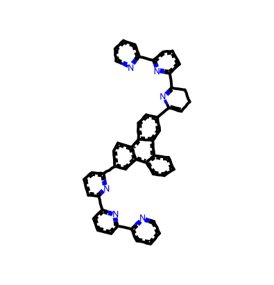 C1=C(c2ccc3c4ccc(-c5cccc(-c6cccc(-c7ccccn7)n6)n5)cc4c4ccccc4c3c2)N=C(c2cccc(-c3ccccn3)n2)CC1